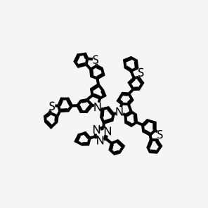 c1ccc(-c2nc(-c3ccccc3)nc(-c3cc(-n4c5ccc(-c6ccc7sc8ccccc8c7c6)cc5c5cc(-c6ccc7sc8ccccc8c7c6)ccc54)cc(-n4c5ccc(-c6ccc7sc8ccccc8c7c6)cc5c5cc(-c6ccc7sc8ccccc8c7c6)ccc54)c3)n2)cc1